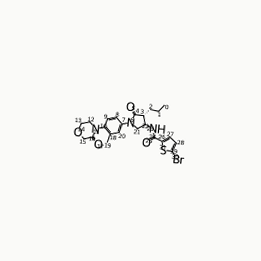 CCC[C@H]1C(=O)N(c2ccc(N3CCOCC3=O)c(C)c2)C[C@@H]1NC(=O)c1ccc(Br)s1